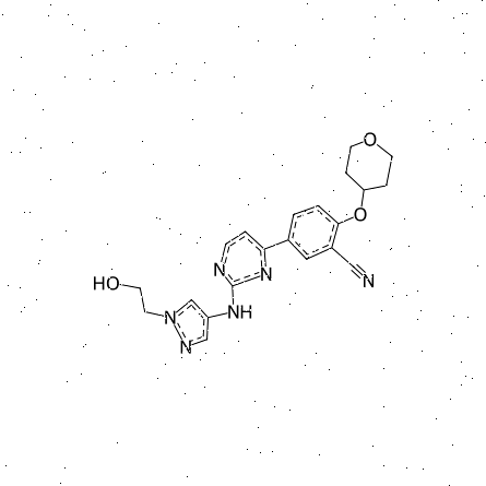 N#Cc1cc(-c2ccnc(Nc3cnn(CCO)c3)n2)ccc1OC1CCOCC1